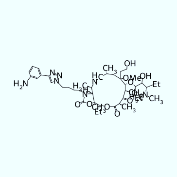 CCO[C@@H](O[C@@H]1[C@@H](C)C(=O)[C@@H](C)C(=O)O[C@H](CC)[C@@]2(C)OC(=O)N(CCCCn3cc(-c4cccc(N)c4)nn3)[C@@H]2[C@@H](C)NC[C@H](C)C[C@@]1(CCO)OC)C(O)C(CC)N(C)C